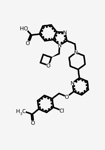 CC(=O)c1ccc(COc2cccc(C3CCN(Cc4nc5ccc(C(=O)O)cc5n4C[C@@H]4CCO4)CC3)n2)c(Cl)c1